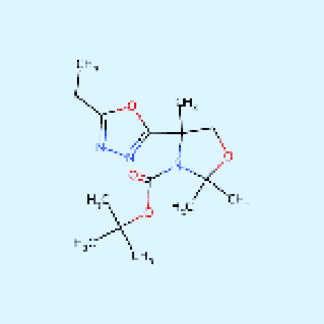 CCc1nnc(C2(C)COC(C)(C)N2C(=O)OC(C)(C)C)o1